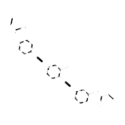 C=CC(=O)Oc1ccc(C#Cc2ccc(C#Cc3cccc(OC(=O)C=C)c3)c(F)c2)cc1